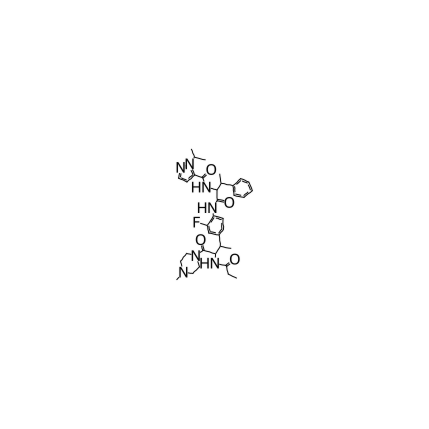 CCC(=O)NC(C(=O)N1CCN(C)CC1)C(C)c1ccc(NC(=O)C(NC(=O)c2ccnn2C(C)C)C(C)c2ccccc2)c(F)c1